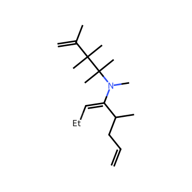 C=CCC(C)/C(=C\CC)N(C)C(C)(C)C(C)(C)C(=C)C